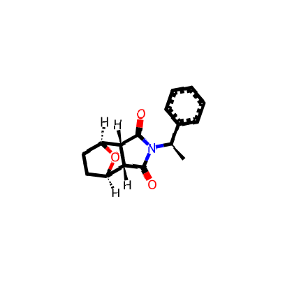 C[C@H](c1ccccc1)N1C(=O)[C@@H]2[C@H](C1=O)[C@H]1CC[C@@H]2O1